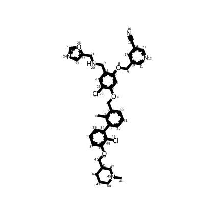 Cc1c(COc2cc(OCc3cncc(C#N)c3)c(CNCc3cnco3)cc2Cl)cccc1-c1cccc(OCC2CCCN(C)C2)c1Cl